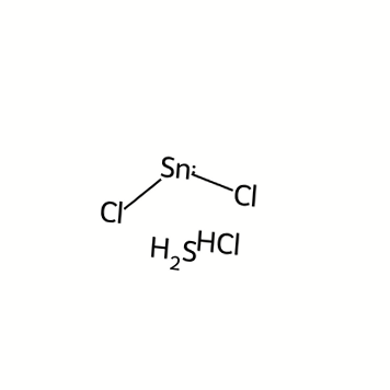 Cl.S.[Cl][Sn][Cl]